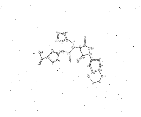 O=C(O)c1csc(NC(=O)[C@H](Cc2cscn2)N2C(=O)NC(c3ccc4c(c3)OCCO4)C2=O)n1